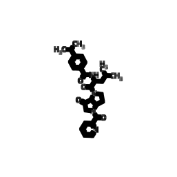 CC(C)CC(NC(=O)c1ccc(C(C)C)cc1)C(=O)N1CCC2C1C(=O)CN2C(=O)c1ccccn1